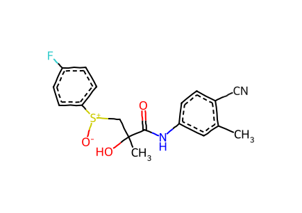 Cc1cc(NC(=O)C(C)(O)C[S+]([O-])c2ccc(F)cc2)ccc1C#N